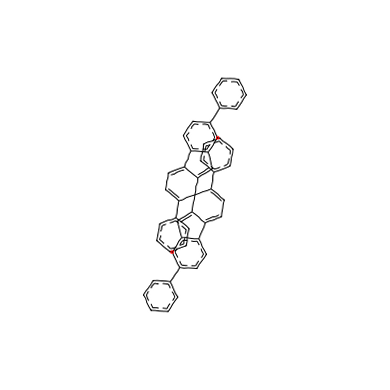 C1=C2C(=Cc3cc(-c4ccccc4)ccc32)C2(C3=Cc4cc(-c5ccccc5)ccc4C3=CC=C2c2ccccc2)C(c2ccccc2)=C1